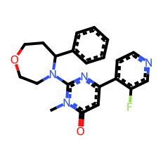 Cn1c(N2CCOCCC2c2ccccc2)nc(-c2ccncc2F)cc1=O